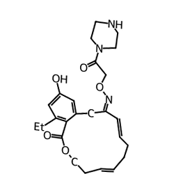 CCc1cc(O)cc2c1C(=O)OCC/C=C/CC/C=C/C(=N/OCC(=O)N1CCNCC1)C2